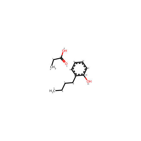 CCC(=O)O.CCCCc1ccccc1O